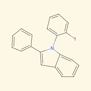 Ic1ccccc1-n1c(-c2ccccc2)cc2ccccc21